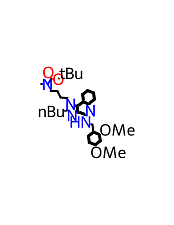 CCCCc1nc2c(NCc3ccc(OC)cc3OC)nc3ccccc3c2n1CCCCN(C)C(=O)OC(C)(C)C